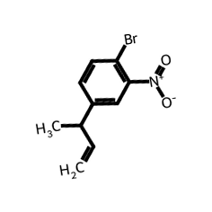 C=C[C](C)c1ccc(Br)c([N+](=O)[O-])c1